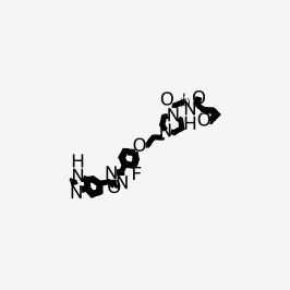 C[C@H](NC(=O)c1ccco1)C(=O)N1CCCN(CCCOc2ccc(-c3noc(-c4ccc5nc[nH]c5c4)n3)c(F)c2)CC1